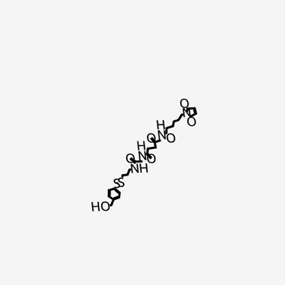 O=C(CCC(=O)NCC(=O)NCCCSSc1ccc(CO)cc1)CNC(=O)CCCCCN1C(=O)C=CC1=O